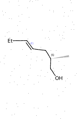 CC/C=C/C[C@H](C)CO